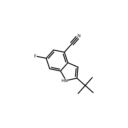 CC(C)(C)c1cc2c(C#N)cc(F)cc2[nH]1